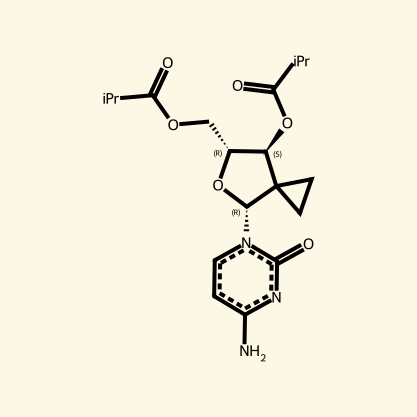 CC(C)C(=O)OC[C@H]1O[C@@H](n2ccc(N)nc2=O)C2(CC2)[C@@H]1OC(=O)C(C)C